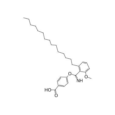 CCCCCCCCCCCCCCCc1cccc(OC)c1C(=N)Oc1ccc(C(=O)O)cc1